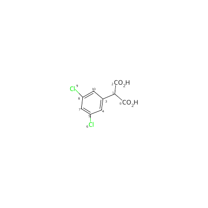 O=C(O)C(C(=O)O)c1cc(Cl)cc(Cl)c1